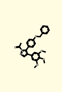 COc1cc(-c2cnn(C(C)=O)c2-c2ccc(OCc3ccccc3)cc2)cc(OC)c1OC